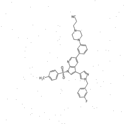 Cc1ccc(S(=O)(=O)n2cc(-c3cnn(Cc4cccc(F)c4)c3)c3cc(-c4cccc(N5CCN(CCC#N)CC5)c4)cnc32)cc1